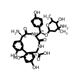 CC1OC(O[C@H](c2ccc(O)cc2)C2NC(=O)[C@H](N)c3ccc(O)c(c3)-c3c(O)cc(O)cc3[C@@H](C(=O)O)NC2=O)CC(C)(N)C1O